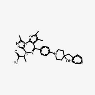 Cc1sc2c(c1C)C(c1ccc(N3CCC(O)(Cc4ccccc4)CC3)cc1)=N[C@@H](C(C)C(=O)O)c1nnc(C)n1-2